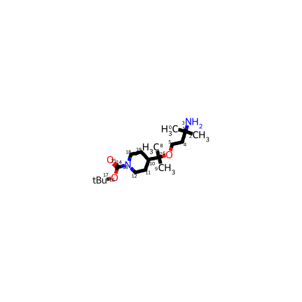 CC(C)(N)CCOC(C)(C)C1CCN(C(=O)OC(C)(C)C)CC1